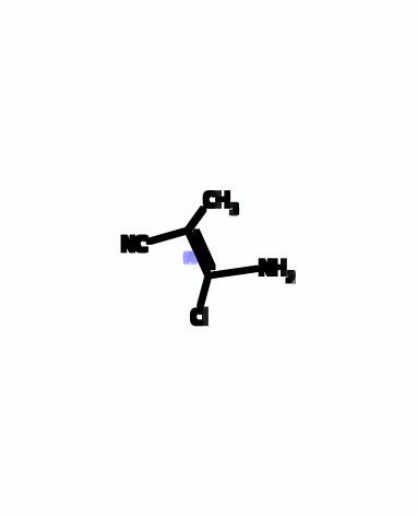 C/C(C#N)=C(\N)Cl